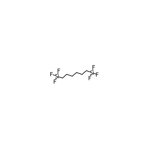 F[Si](F)(F)CCCCCC[Si](F)(F)F